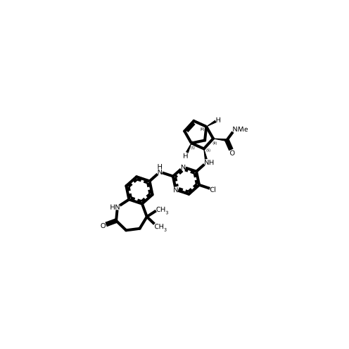 CNC(=O)[C@H]1[C@@H](Nc2nc(Nc3ccc4c(c3)C(C)(C)CCC(=O)N4)ncc2Cl)[C@@H]2C=C[C@H]1C2